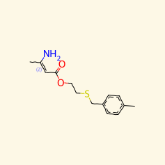 C/C(N)=C/C(=O)OCCSCc1ccc(C)cc1